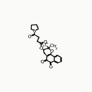 CC1(C)OC2=C(CC1OC(=O)CCC(=O)N1CCCC1)C(=O)C(=O)c1ccccc12